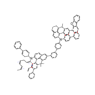 C=C/C=C\C(=C\C/C=C\C=C/C)N(c1ccc2cc(-c3cccc(-c4ccc(N(c5ccc(-c6ccccc6)cc5)c5ccc6c7c5-c5ccc(-c8cccc9c8oc8ccccc89)cc5C(C)C=7CCC=6)cc4)c3)cc3c2c1-c1ccc(-c2ccccc2)cc1C3(C)C)C1C=CC(c2ccccc2)=CC1